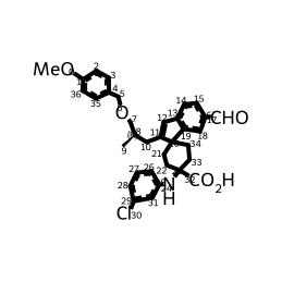 COc1ccc(COC[C@H](C)CC2=Cc3ccc(C=O)cc3C23CCC(Nc2cccc(Cl)c2)(C(=O)O)CC3)cc1